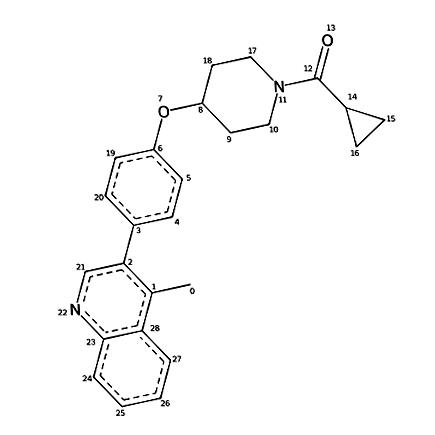 Cc1c(-c2ccc(OC3CCN(C(=O)C4CC4)CC3)cc2)cnc2ccccc12